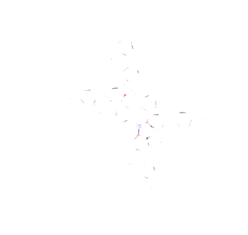 N#Cc1cccc(-n2c3ccc(-c4ccc(C(F)(F)F)cc4C(F)(F)F)cc3c3cc(-c4ccc(C(F)(F)F)cc4C(F)(F)F)ccc32)c1-c1c(-c2cc(C(F)(F)F)cc(C(F)(F)F)c2)cccc1-n1c2ccc(-c3ccc(C(F)(F)F)cc3C(F)(F)F)cc2c2cc(-c3ccc(C(F)(F)F)cc3C(F)(F)F)ccc21